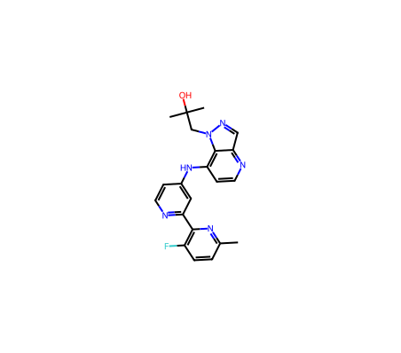 Cc1ccc(F)c(-c2cc(Nc3ccnc4cnn(CC(C)(C)O)c34)ccn2)n1